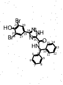 O=C(NC(c1ccccc1)c1ccccc1)c1nc(-c2cc(Br)c(O)c(Br)c2)n[nH]1